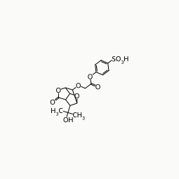 CC(C)(O)C1C2OC3C(OC(=O)C31)C2OCC(=O)Oc1ccc(S(=O)(=O)O)cc1